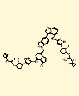 CC1(NC(O)O[C@@H]2CC[C@H](c3cc(Nc4nccn5ncc(-c6ccc7c(cnn7Cc7cnc(Nc8cc([C@@H]9CC[C@H](OC(=O)NC%10%11CC(C%10)C%11)[C@H]9F)[nH]n8)c8c(Cl)cnn78)c6)c45)n[nH]3)[C@@H]2F)CC1